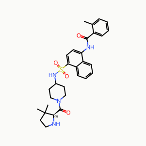 Cc1ccccc1C(=O)Nc1ccc(S(=O)(=O)NC2CCN(C(=O)[C@H]3NCCC3(C)C)CC2)c2ccccc12